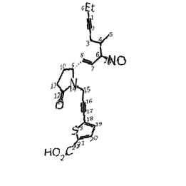 CCC#CCC(C)[C@H](/C=C/[C@H]1CCC(=O)N1CC#Cc1ccc(C(=O)O)s1)N=O